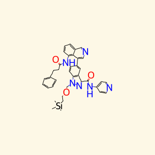 C[Si](C)(C)CCOCn1nc(C(=O)Nc2ccncc2)c2cc(-c3cncc4cccc(NC(=O)CCc5ccccc5)c34)ccc21